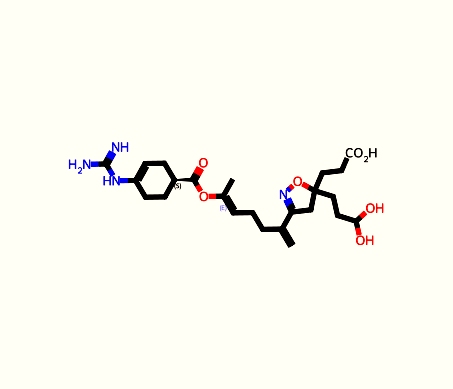 C=C(CC/C=C(\C)OC(=O)[C@@H]1CC=C(NC(=N)N)CC1)C1=NOC(CCC(=O)O)(CCC(O)O)C1